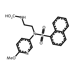 COc1ccc(N(CCNC(=O)O)S(=O)(=O)c2cccc3ccccc23)cn1